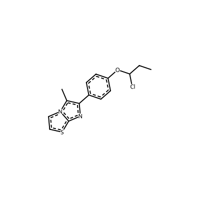 CCC(Cl)Oc1ccc(-c2nc3sccn3c2C)cc1